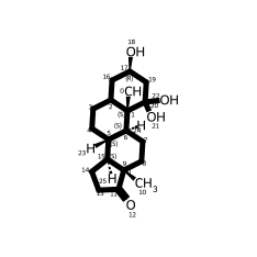 C[C@]12C(CC[C@@H]3[C@@H]1CC[C@]1(C)C(=O)CC[C@@H]31)C[C@@H](O)CC2(O)O